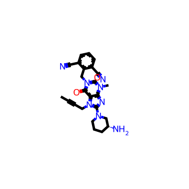 CC#CCn1c(N2CCC[C@@H](N)C2)nc2c1c(=O)n(Cc1c(C#N)cccc1C#N)c(=O)n2C